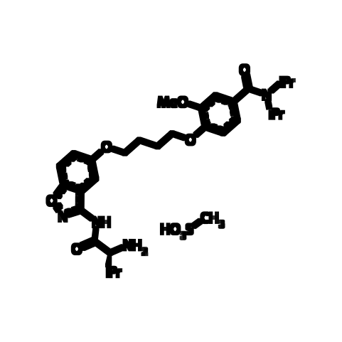 COc1cc(C(=O)N(C(C)C)C(C)C)ccc1OCCCCOc1ccc2onc(NC(=O)[C@@H](N)C(C)C)c2c1.CS(=O)(=O)O